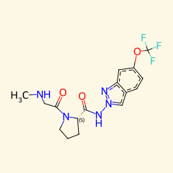 CNCC(=O)N1CCC[C@H]1C(=O)Nn1cc2ccc(OC(F)(F)F)cc2n1